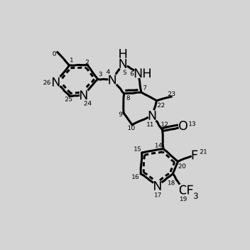 Cc1cc(N2NNC3=C2CCN(C(=O)c2ccnc(C(F)(F)F)c2F)C3C)ncn1